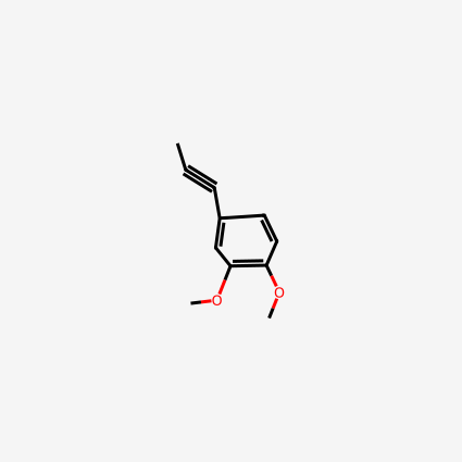 CC#Cc1ccc(OC)c(OC)c1